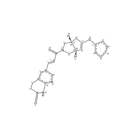 O=C1CCc2cc(/C=C/C(=O)N3C[C@@H]4CC(Oc5ccccc5)=C[C@@H]4C3)cnc2N1